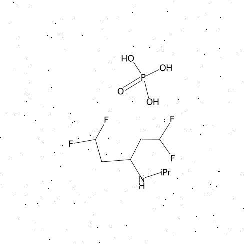 CC(C)NC(CC(F)F)CC(F)F.O=P(O)(O)O